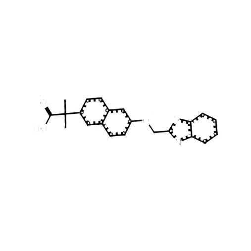 CC(C)(C(=O)O)c1ccc2cc(OCc3nc4ccccc4s3)ccc2c1